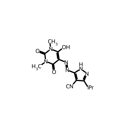 [C-]#[N+]c1c(C(C)C)n[nH]c1/N=N/c1c(O)n(C)c(=O)n(C)c1=O